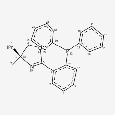 CC(C)[C@@]1(C)COC(c2ccccc2P(c2ccccc2)c2ccccc2)=N1